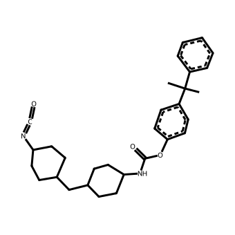 CC(C)(c1ccccc1)c1ccc(OC(=O)NC2CCC(CC3CCC(N=C=O)CC3)CC2)cc1